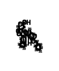 CC(=O)C(CC(=O)O)NC(=O)[C@H](Cc1ccccc1)NC(=O)[C@@H](NC(=O)OCc1ccccc1)C(C)C